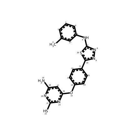 Cc1cccc(Nc2nnc(-c3ccc(Oc4cc(N)nc(S)n4)cc3)s2)c1